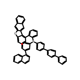 c1ccc(-c2ccc(-c3ccc(N(c4cccc(-c5cccc6ccccc56)c4)c4ccccc4-c4cccc5oc6cc7ccccc7cc6c45)cc3)cc2)cc1